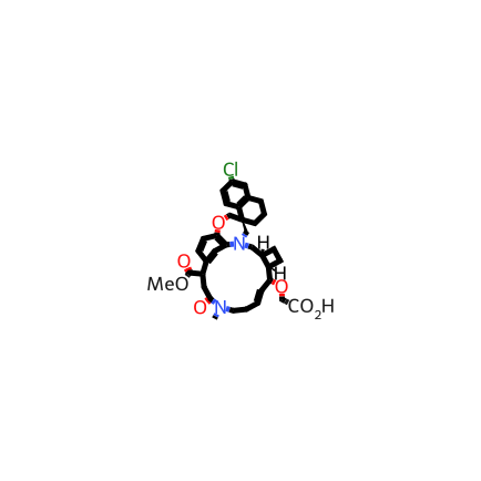 COC(=O)C1CC(=O)N(C)CC/C=C/C(OCC(=O)O)[C@@H]2CC[C@H]2CN2C[C@@]3(CCCc4cc(Cl)ccc43)COc3ccc1cc32